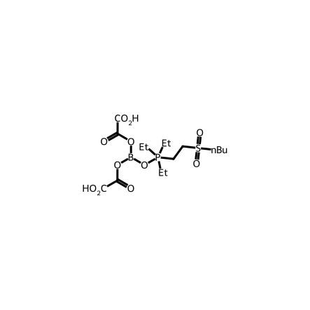 CCCCS(=O)(=O)CCP(CC)(CC)(CC)OB(OC(=O)C(=O)O)OC(=O)C(=O)O